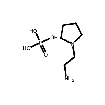 NCCN1CCCC1.O=P(O)(O)O